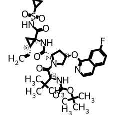 C=C[C@@H]1C[C@]1(NC(=O)[C@@H]1C[C@@H](Oc2nccc3ccc(F)cc23)CN1C(=O)[C@@H](NC(=O)OC(C)(C)C)C(C)(C)C)C(=O)NS(=O)(=O)C1CC1